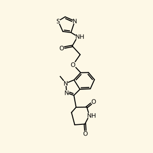 Cn1nc(C2CCC(=O)NC2=O)c2cccc(OCC(=O)Nc3cscn3)c21